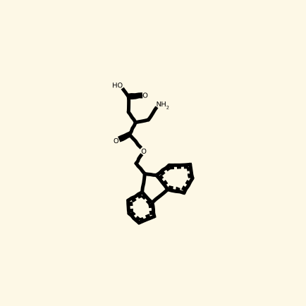 NCC(CC(=O)O)C(=O)OCC1c2ccccc2-c2ccccc21